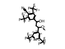 COC(CC(O)c1cc(C(F)(F)F)c(C#N)c(C(F)(F)F)c1)c1cc(C(F)(F)F)nc(C(F)(F)F)c1